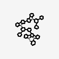 c1ccc(-c2cc(-c3ccccc3)cc(-n3c4ccccc4c4cc(-c5ccc6c7ccccc7n(-c7cc(-c8ccccc8)cc(-c8cccc(-c9cc%10c%11ccccc%11n%11c%12ccccc%12sn%12c%13ccccc%13c9c%12c%10%11)c8)c7)c6c5)ccc43)c2)cc1